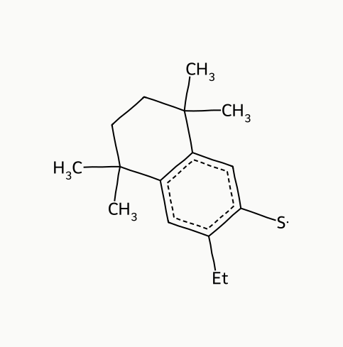 CCc1cc2c(cc1[S])C(C)(C)CCC2(C)C